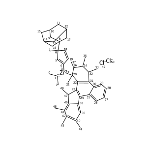 C[C](C)=[Zr+2]([C]1=CC(C)(C23CC4CC(CC(C4)C2)C3)C=C1)[C]1(C)c2c3c(c4ccccc4c2C(C)C(C)C1C)-c1cc(C)c(C)c(C)c1C3C.[Cl-].[Cl-]